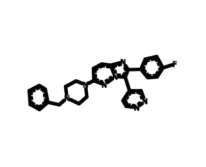 Fc1ccc(-c2nc3ccc(N4CCN(Cc5ccccc5)CC4)nn3c2-c2ccnnc2)cc1